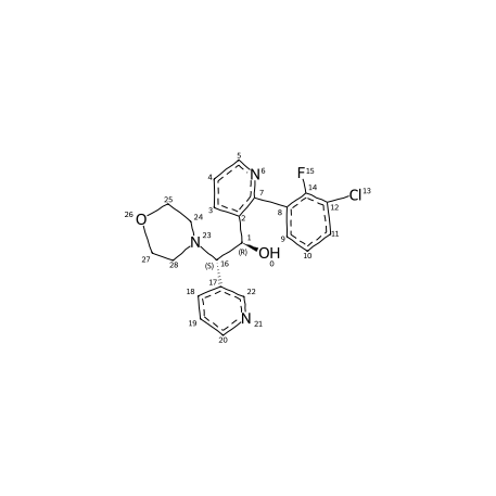 O[C@H](c1cccnc1-c1cccc(Cl)c1F)[C@H](c1cccnc1)N1CCOCC1